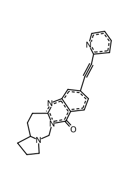 O=c1c2ccc(C#Cc3ccccn3)cc2nc2n1CN1CCCC1CC2